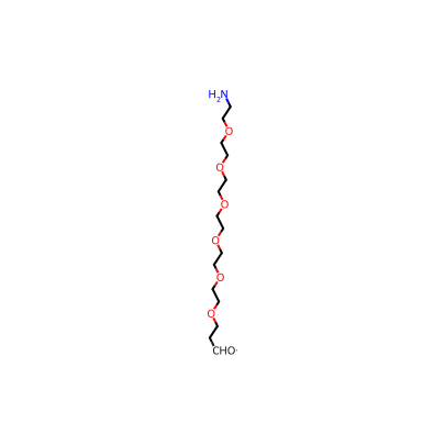 NCCOCCOCCOCCOCCOCCOCC[C]=O